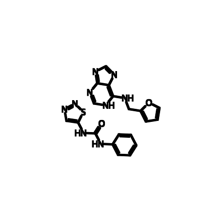 O=C(Nc1ccccc1)Nc1cnns1.c1coc(CNc2[nH]cnc3ncnc2-3)c1